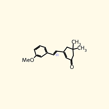 COc1cccc(/C=C/C2=CC(=O)CC(C)(C)C2)c1